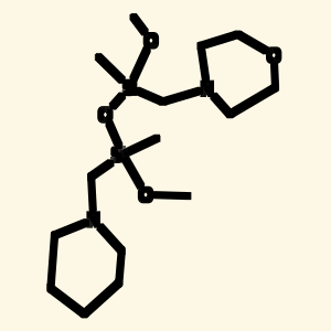 CO[Si](C)(CN1CCCCC1)O[Si](C)(CN1CCOCC1)OC